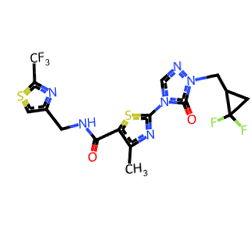 Cc1nc(-n2cnn(CC3CC3(F)F)c2=O)sc1C(=O)NCc1csc(C(F)(F)F)n1